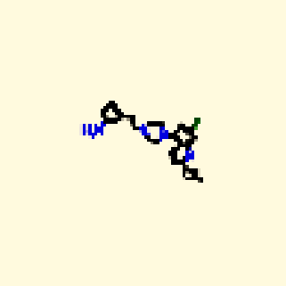 Cc1ccc2c(N3CCN(CCc4cccc(N)c4)CC3)cc(F)cc2n1